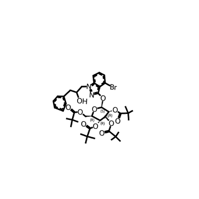 CC(C)(C)C(=O)OC[C@H]1O[C@@H](Oc2nn(CC(O)Cc3ccccc3)c3cccc(Br)c23)[C@H](OC(=O)C(C)(C)C)[C@@H](OC(=O)C(C)(C)C)[C@@H]1OC(=O)C(C)(C)C